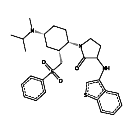 CC(C)N(C)[C@@H]1CC[C@H](N2CCC(Nc3csc4ccccc34)C2=O)[C@H](CS(=O)(=O)c2ccccc2)C1